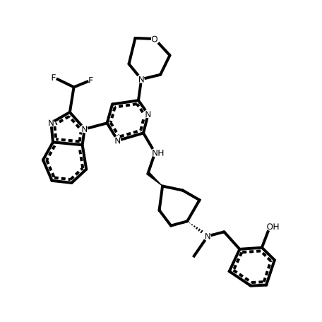 CN(Cc1ccccc1O)[C@H]1CC[C@H](CNc2nc(N3CCOCC3)cc(-n3c(C(F)F)nc4ccccc43)n2)CC1